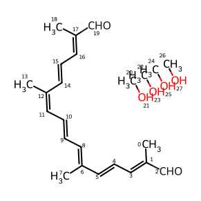 CC(C=O)=CC=CC(C)=CC=CC=C(C)C=CC=C(C)C=O.CO.CO.CO.CO